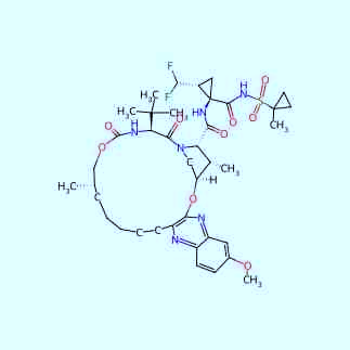 COc1ccc2nc3c(nc2c1)O[C@H]1CN(C(=O)[C@H](C(C)(C)C)NC(=O)OC[C@@H](C)CCCCC3)[C@H](C(=O)N[C@]2(C(=O)NS(=O)(=O)C3(C)CC3)C[C@H]2C(F)F)[C@@H]1C